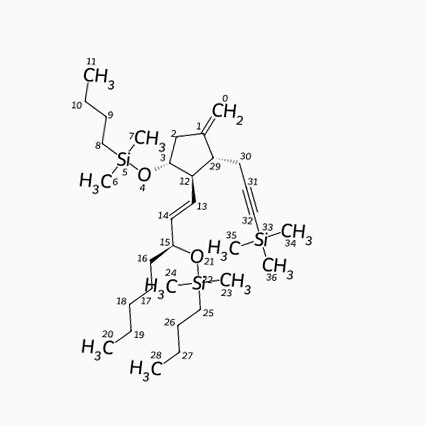 C=C1C[C@@H](O[Si](C)(C)CCCC)[C@H](C=C[C@H](CCCCC)O[Si](C)(C)CCCC)[C@H]1CC#C[Si](C)(C)C